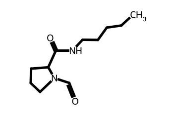 CCCCCNC(=O)C1CCCN1C=O